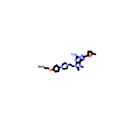 C=C1N(C)c2c(nc(N)n3nc(-c4ccc(C)o4)nc23)N1CCN1CCN(c2ccc(OCCOC)cc2)CC1